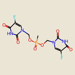 CP(=O)(OCn1cc(F)c(=O)[nH]c1=O)OCn1cc(F)c(=O)[nH]c1=O